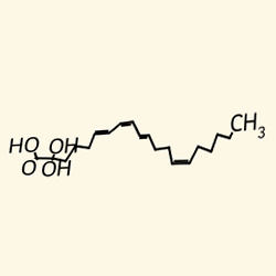 CCCCC/C=C\CC/C=C/C=C\C=C\CCCC(O)(O)C(=O)O